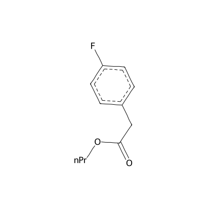 CCCOC(=O)Cc1ccc(F)cc1